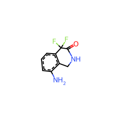 Nc1cccc2c1CNC(=O)C2(F)F